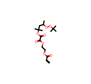 C=CC(=O)OCCOC(=O)C(=O)OC(C)(C)CC(C)OOC(C)(C)C